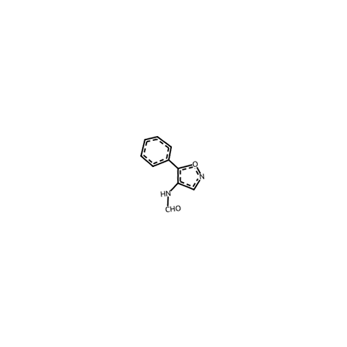 O=CNc1cnoc1-c1ccccc1